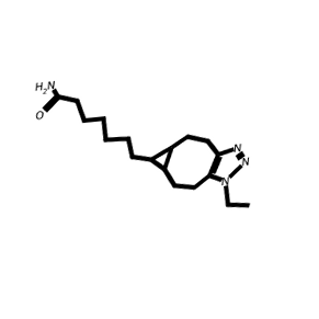 CCn1nnc2c1CCC1C(CCCCCCC(N)=O)C1CC2